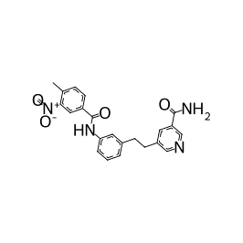 Cc1ccc(C(=O)Nc2cccc(CCc3cncc(C(N)=O)c3)c2)cc1[N+](=O)[O-]